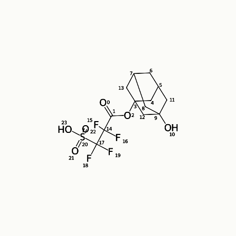 O=C(OC12CC3CC(CC(O)(C3)C1)C2)C(F)(F)C(F)(F)S(=O)(=O)O